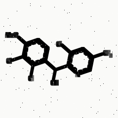 COc1ccc(C(C#N)c2ncc(C(F)(F)F)cc2Cl)c(Cl)c1Cl